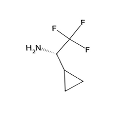 N[C@@H](C1CC1)C(F)(F)F